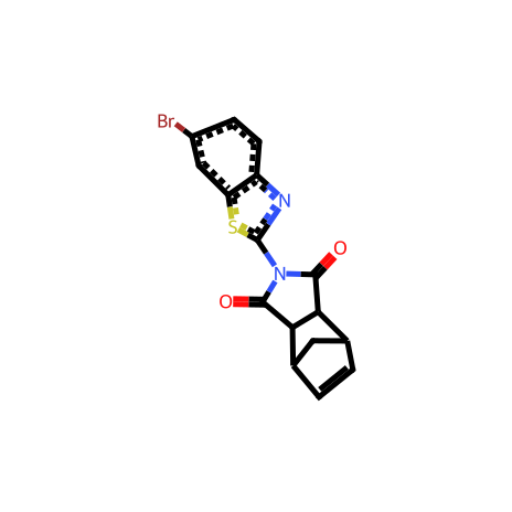 O=C1C2C3C=CC(C3)C2C(=O)N1c1nc2ccc(Br)cc2s1